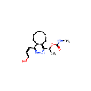 CNC(=O)OC(C)C1=C2CCCCCCC2C(/C=C\CO)=NN1